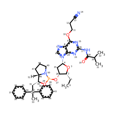 CC[C@H]1O[C@@H](n2cnc3c(OCCC#N)nc(NC(=O)C(C)C)nc32)C[C@H]1O[P@@]1O[C@H](C[Si](C)(c2ccccc2)c2ccccc2)[C@@H]2CCCN21